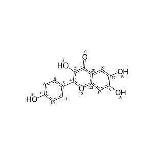 O=c1c(O)c(-c2ccc(O)cc2)oc2cc(O)c(O)cc12